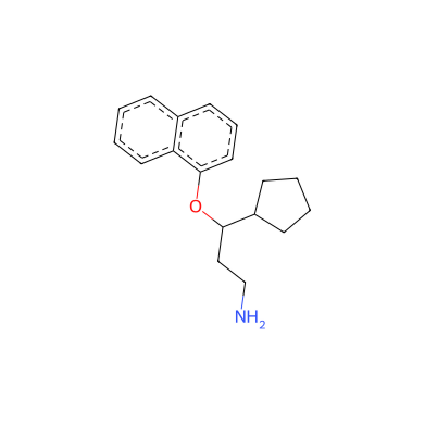 NCCC(Oc1cccc2ccccc12)C1CCCC1